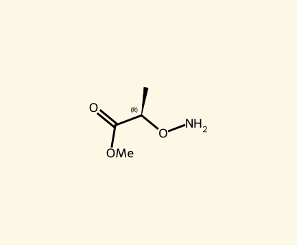 COC(=O)[C@@H](C)ON